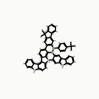 CC(C)(C)c1ccc(N2B3c4cc5c(cc4-n4c6ccc7oc8ccccc8c7c6c6ccc(c3c64)-c3cc4c(cc32)-c2ccccc2C4(C)C)oc2ccccc25)cc1